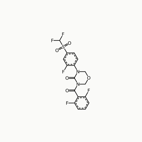 O=C(c1c(F)cccc1F)N1COCN(c2ccc(S(=O)(=O)C(F)F)cc2F)C1=O